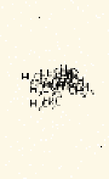 BC(C)(C)C(CC(C)(C)C(C)(C)C(CC(C)(C)C)N1CCCC1=O)C(=C)NC(/C=C\C)=C/C=C\C